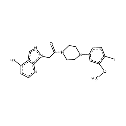 COc1cc(N2CCN(C(=O)Cn3ncc4c(S)ccnc43)CC2)ccc1I